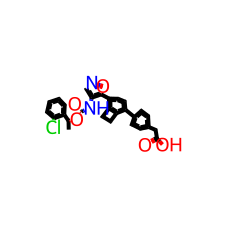 CC(OC(=O)Nc1cnoc1-c1ccc(-c2ccc(CC(=O)O)cc2)c2c1CC2)c1ccccc1Cl